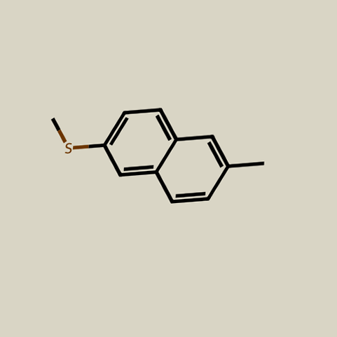 CSc1ccc2cc(C)ccc2c1